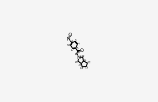 O=Nc1ccc(C(=O)CN2CC3CCCC3C2)cc1